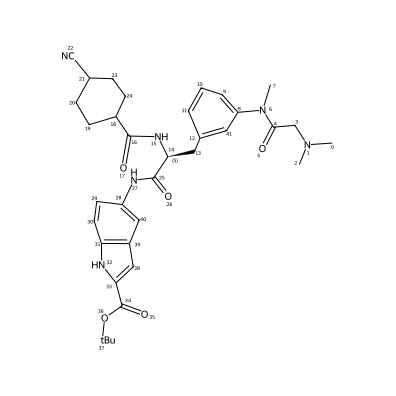 CN(C)CC(=O)N(C)c1cccc(C[C@H](NC(=O)C2CCC(C#N)CC2)C(=O)Nc2ccc3[nH]c(C(=O)OC(C)(C)C)cc3c2)c1